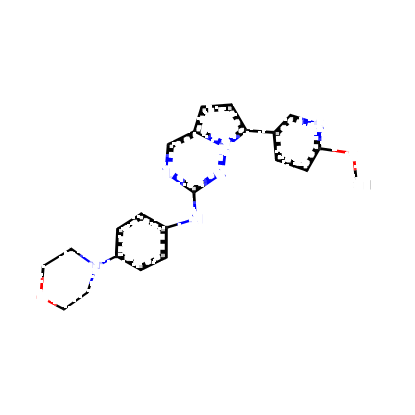 COc1ccc(-c2ccc3cnc(Nc4ccc(N5CCOCC5)cc4)nn23)cn1